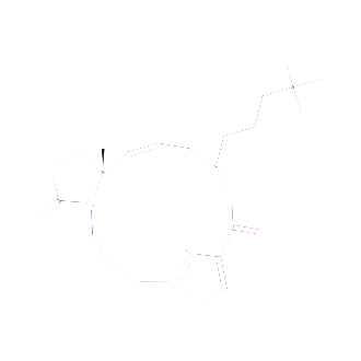 C[C@@]1(CCCC(F)(F)F)C/C=C\[C@H]2COC(=O)N2CCSc2nc(cs2)C(=O)O1